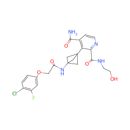 NC(=O)c1ccnc(C(=O)NCCO)c1C12CC(NC(=O)COc3ccc(Cl)c(F)c3)(C1)C2